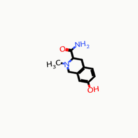 CN1Cc2cc(O)ccc2CC1C(N)=O